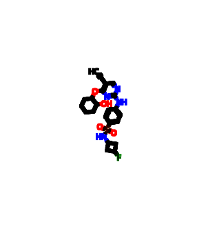 C#Cc1cnc(Nc2ccc(S(=O)(=O)NC3CC(F)C3)cc2)nc1OC1CCCCC1O